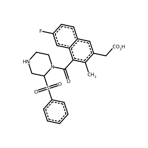 Cc1c(CC(=O)O)cc2ccc(F)cc2c1C(=O)N1CCNCC1S(=O)(=O)c1ccccc1